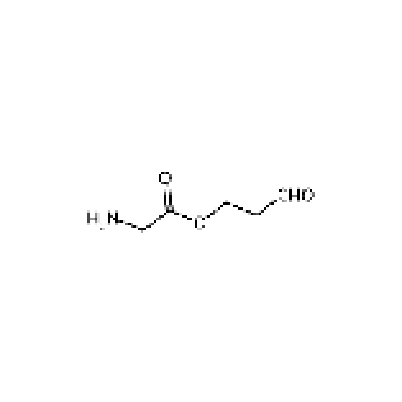 NCC(=O)OCCC=O